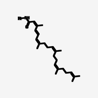 CCNC(=O)C=C(C)C=CC=C(C)CCC=C(C)CCC=C(C)CCC=C(C)C